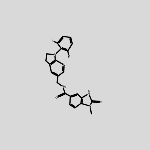 Cn1c(=O)[nH]c2cc(C(=O)NCc3cnc4c(c3)CCN4c3c(F)cccc3F)ccc21